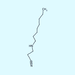 CCCCCCCCNCCC#N